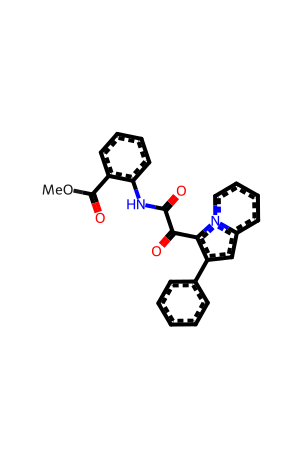 COC(=O)c1ccccc1NC(=O)C(=O)c1c(-c2ccccc2)cc2ccccn12